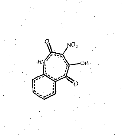 O=c1[nH]c2ccccc2c(=O)c(O)c1[N+](=O)[O-]